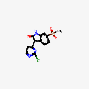 CS(=O)(=O)c1ccc2c(c1)NC(=O)C2c1ccnc(Cl)n1